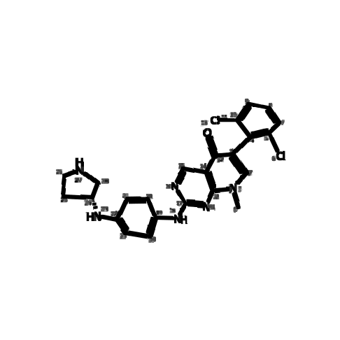 Cn1cc(-c2c(Cl)cccc2Cl)c(=O)c2cnc(Nc3ccc(N[C@@H]4CCNC4)cc3)nc21